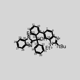 CCn1c(C(C)(C)C)nc2ccc(-c3ccccc3C(O)(c3ccccc3)c3nc4ccccc4n3CC)cc21